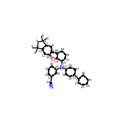 CC1(C)CC(C)(C)c2cc3c(cc21)oc1c(N(c2ccc(-c4ccccc4)cc2)c2cccc(C#N)c2)cccc13